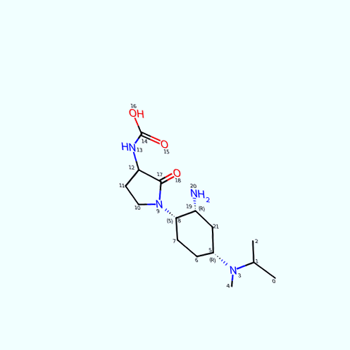 CC(C)N(C)[C@@H]1CC[C@H](N2CCC(NC(=O)O)C2=O)[C@H](N)C1